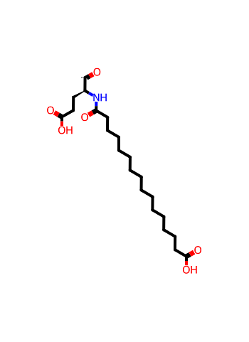 O=[C][C@H](CCC(=O)O)NC(=O)CCCCCCCCCCCCCCC(=O)O